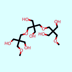 COCC(CO)(CO)COCC(CO)(CO)COCC(CO)(CO)COC